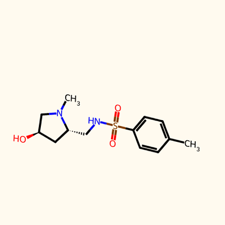 Cc1ccc(S(=O)(=O)NC[C@@H]2C[C@@H](O)CN2C)cc1